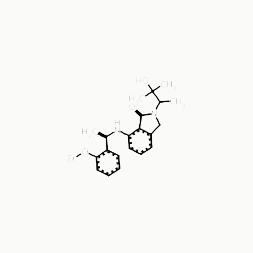 C=C(Nc1cccc2c1C(=O)N(C(C)C(C)(C)O)C2)c1ccccc1OCC